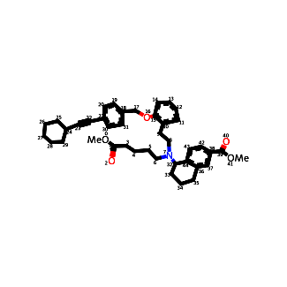 COC(=O)CCCCN(CCc1ccccc1OCc1ccc(C#CC2CCCCC2)cc1)C1CCCc2cc(C(=O)OC)ccc21